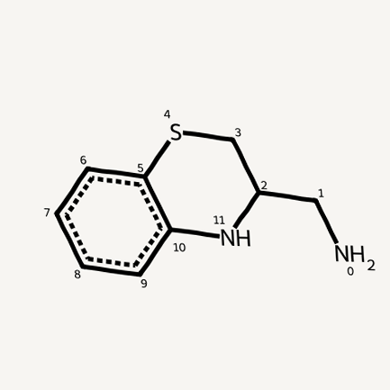 NCC1CSc2ccccc2N1